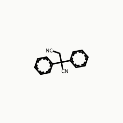 N#CCC(C#N)(c1ccccc1)c1ccccc1